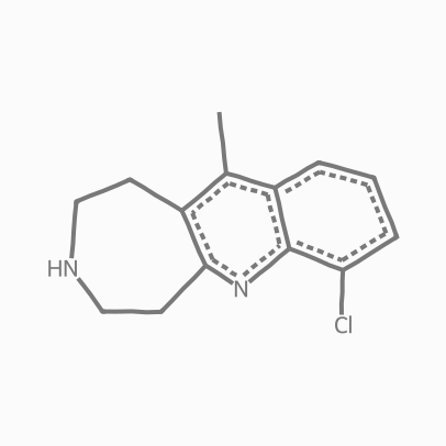 Cc1c2c(nc3c(Cl)cccc13)CCNCC2